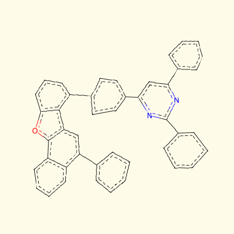 c1ccc(-c2cc(-c3ccc(-c4cccc5oc6c7ccccc7c(-c7ccccc7)cc6c45)cc3)nc(-c3ccccc3)n2)cc1